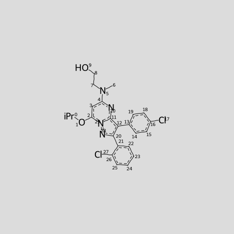 CC(C)Oc1cc(N(C)CCO)nc2c(-c3ccc(Cl)cc3)c(-c3ccccc3Cl)nn12